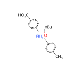 CCCCC(OCc1ccc(C)cc1)C(N)c1ccc(C(=O)O)cc1